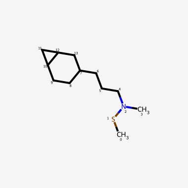 CSN(C)CCCC1CCC2CC2C1